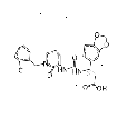 O=C(O)C[C@H](NC(=O)Nc1cccn(Cc2ccccc2Cl)c1=O)c1ccc2c(c1)OCO2